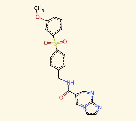 COc1cccc(S(=O)(=O)c2ccc(CNC(=O)c3cnc4nccn4c3)cc2)c1